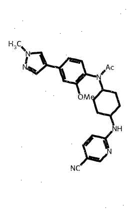 COc1cc(-c2cnn(C)c2)ccc1N(C(C)=O)C1CCC(Nc2ccc(C#N)cn2)CC1